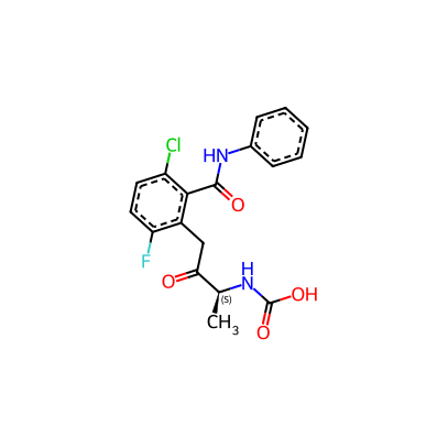 C[C@H](NC(=O)O)C(=O)Cc1c(F)ccc(Cl)c1C(=O)Nc1ccccc1